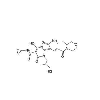 CC(C)Cn1c(=O)c(C(=O)NC2CC2)c(O)n2nc(N)c(C=CC(=O)N3CCOCC3C)c12.Cl